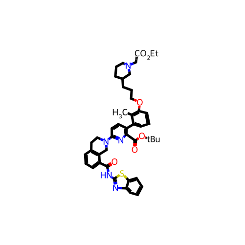 CCOC(=O)CN1CCCC(CCCOc2cccc(-c3ccc(N4CCc5cccc(C(=O)Nc6nc7ccccc7s6)c5C4)nc3C(=O)OC(C)(C)C)c2C)C1